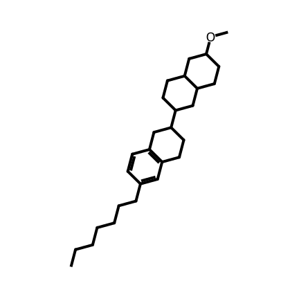 CCCCCCCc1ccc2c(c1)CCC(C1CCC3CC(OC)CCC3C1)C2